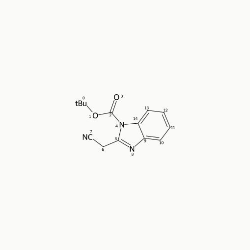 CC(C)(C)OC(=O)n1c(CC#N)nc2ccccc21